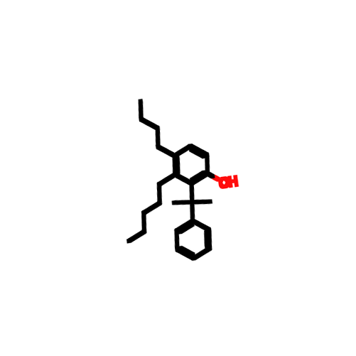 CCCCCc1c(CCCC)ccc(O)c1C(C)(C)c1ccccc1